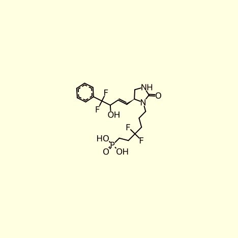 O=C1NC[C@H](/C=C/C(O)C(F)(F)c2ccccc2)N1CCCC(F)(F)CCP(=O)(O)O